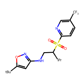 CC(C)C(CNc1cc(C(C)(C)C)on1)S(=O)(=O)c1ccc(C(F)(F)F)cn1